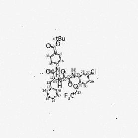 CC(C)(C)OC(=O)c1ccc(NC(=O)[C@H](Cc2ccccc2)NC(=O)C(=O)Nc2cc(Cl)ccc2OCC(F)(F)F)cc1